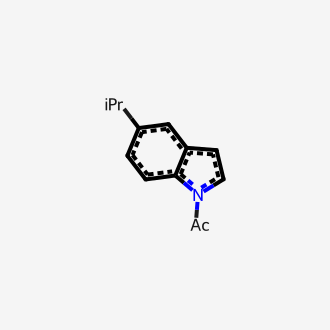 CC(=O)n1ccc2cc(C(C)C)ccc21